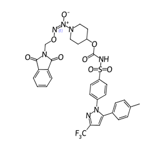 Cc1ccc(-c2cc(C(F)(F)F)nn2-c2ccc(S(=O)(=O)NC(=O)OC3CCN(/[N+]([O-])=N\OCN4C(=O)c5ccccc5C4=O)CC3)cc2)cc1